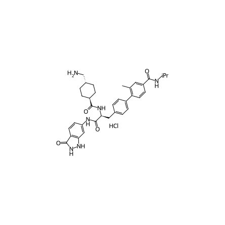 Cc1cc(C(=O)NC(C)C)ccc1-c1ccc(C[C@H](NC(=O)[C@H]2CC[C@H](CN)CC2)C(=O)Nc2ccc3c(=O)[nH][nH]c3c2)cc1.Cl